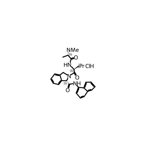 CN[C@@H](C)C(=O)N[C@H](C(=O)N1Cc2ccccc2[C@H]1C(=O)Nc1cccc2ccccc12)C(C)C.Cl